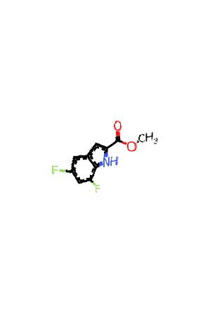 COC(=O)c1cc2cc(F)cc(F)c2[nH]1